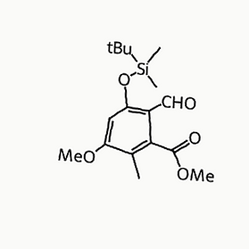 COC(=O)c1c(C)c(OC)cc(O[Si](C)(C)C(C)(C)C)c1C=O